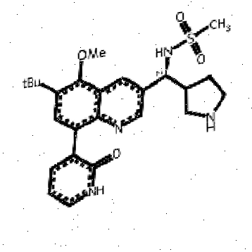 COc1c(C(C)(C)C)cc(-c2ccc[nH]c2=O)c2ncc([C@@H](NS(C)(=O)=O)C3CCNC3)cc12